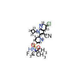 CC(C)(NS(=O)(=O)c1ccc(-c2c(C#N)c3cc(Cl)cnc3n2C2CCC2)nc1)C(F)(F)F